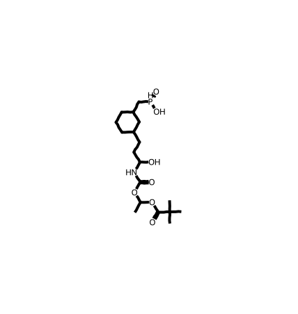 CC(OC(=O)NC(O)CCC1CCCC(C[PH](=O)O)C1)OC(=O)C(C)(C)C